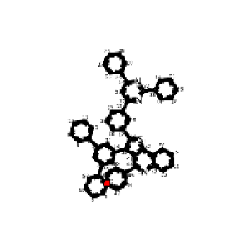 c1ccc(-c2cc(-c3ccccc3)cc(-c3c(-c4cccc(-c5cc(-c6ccccc6)nc(-c6ccccc6)n5)c4)sc4c3c(-c3ccccc3)nc3ccccc34)c2)cc1